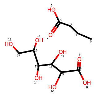 CCCC(=O)O.O=C(O)C(O)C(O)C(O)C(O)CO